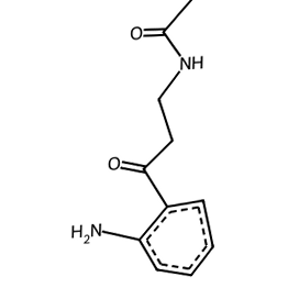 CC(=O)NCCC(=O)c1ccccc1N